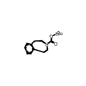 CC(C)(C)OC(=O)N1CCc2ccccc2CC1